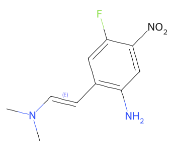 CN(C)/C=C/c1cc(F)c([N+](=O)[O-])cc1N